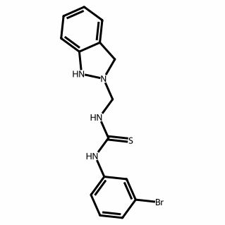 S=C(NCN1Cc2ccccc2N1)Nc1cccc(Br)c1